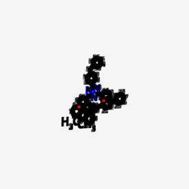 CC1(C)C2=C(C=CCC2)C2(C3=C1CCC=C3)c1ccc(C3=CC=C(c4ccccc4)CC3)cc1-c1c(-c3nc(-c4ccccc4)nc(-c4ccc(Cc5ccccc5)cc4)n3)cccc12